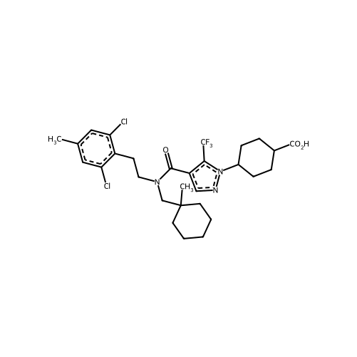 Cc1cc(Cl)c(CCN(CC2(C)CCCCC2)C(=O)c2cnn(C3CCC(C(=O)O)CC3)c2C(F)(F)F)c(Cl)c1